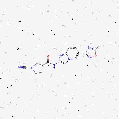 Cc1nc(-c2ccc3nc(NC(=O)[C@H]4CCN(C#N)C4)cn3c2)no1